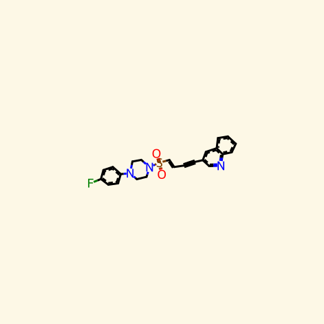 O=S(=O)(C=CC#Cc1cnc2ccccc2c1)N1CCN(c2ccc(F)cc2)CC1